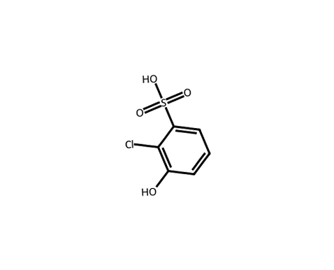 O=S(=O)(O)c1cccc(O)c1Cl